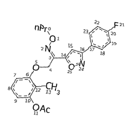 CCCON=C(COc1cccc(OC(C)=O)c1C)c1cc(-c2ccc(F)cc2)no1